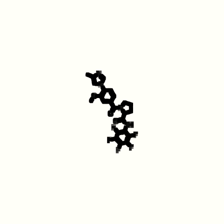 COc1cc(C(=O)N2CCCC2C(=O)Nc2c(F)c(F)c(F)c(F)c2F)ccc1-n1cnc(C)c1